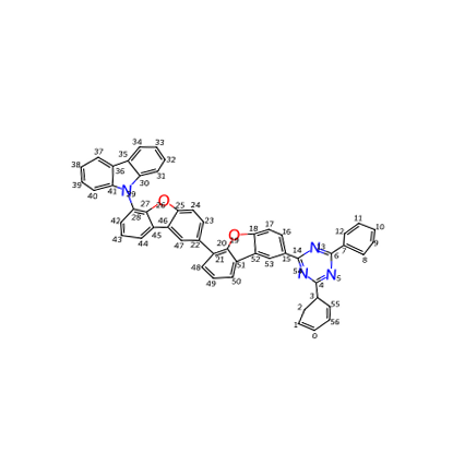 C1=CCC(c2nc(-c3ccccc3)nc(-c3ccc4oc5c(-c6ccc7oc8c(-n9c%10ccccc%10c%10ccccc%109)cccc8c7c6)cccc5c4c3)n2)C=C1